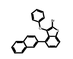 Brc1sc2cccc(-c3ccc4ccccc4c3)c2c1Oc1ccccc1